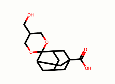 O=C(O)C12CC3CC(C1)C1(OCC(CO)CO1)C(C3)C2